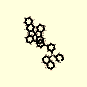 c1cncc(N(c2cccc(-c3ccc(-c4cccc5c4C4(c6ccccc6-c6ccccc64)c4cc6ccccc6cc4-5)cc3)c2)c2cccc3ccccc23)c1